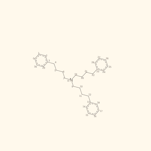 c1ccc(CCCCN(CCCCc2ccccc2)CCCCc2ccccc2)cc1